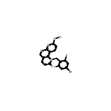 CCOc1ccc2c(ncc3ccc(=O)n(Cc4c(F)cc(Br)cc4F)c32)n1